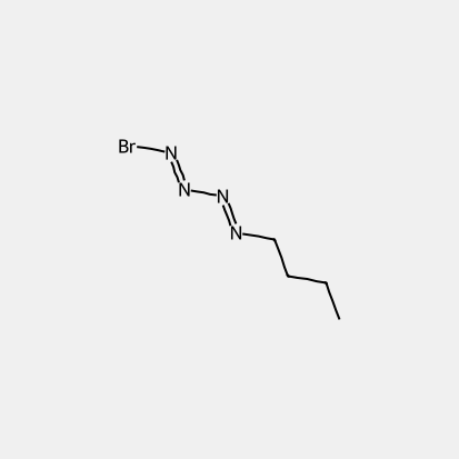 CCCC/N=N/N=N/Br